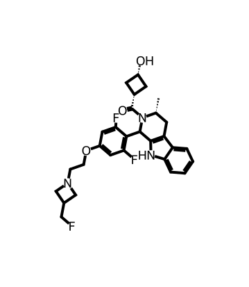 C[C@@H]1Cc2c([nH]c3ccccc23)C(c2c(F)cc(OCCN3CC(CF)C3)cc2F)N1C(=O)[C@H]1C[C@@H](O)C1